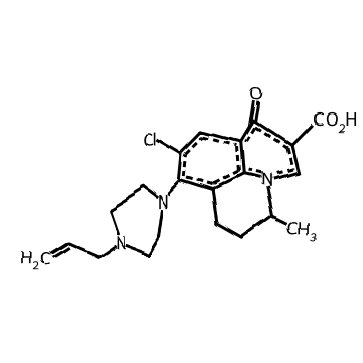 C=CCN1CCN(c2c(Cl)cc3c(=O)c(C(=O)O)cn4c3c2CCC4C)CC1